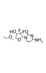 CCOC[C@H]1OC(n2ccc(N)nc2=O)C(F)(F)[C@@H]1O